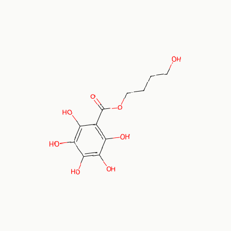 O=C(OCCCCO)c1c(O)c(O)c(O)c(O)c1O